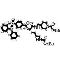 CC(C)(C)OC(=O)NCCCC[C@H](NC(=O)c1ccc(S(=O)(=O)Nc2ccccc2Oc2ccccc2)cc1)C(=O)NCC1CCN(C(=O)OC(C)(C)C)CC1